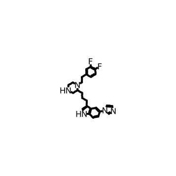 Fc1ccc(CCN2CCNCC2CCCc2c[nH]c3ccc(-n4ccnc4)cc23)cc1F